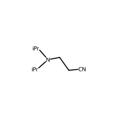 CC(C)N(CCC#N)C(C)C